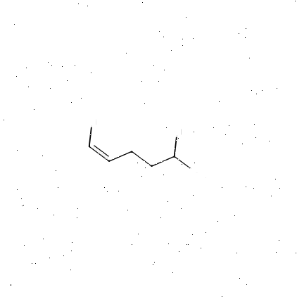 BC(C)CC/C=C\C